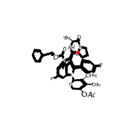 CC(=O)O[C@H]1[C@H](OC(C)=O)COC(n2c(-c3ccc(F)cc3)c(C[C@@H]3CCCN3C(=O)[C@@H](NC(=O)[C@H](C)N(C)C(=O)OCc3ccccc3)C(C)(C)C)c3ccc(F)cc32)[C@@H]1OC(C)=O